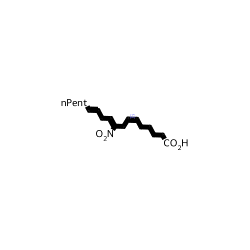 CCCCCC=CCC=C(C/C=C\CCCCC(=O)O)[N+](=O)[O-]